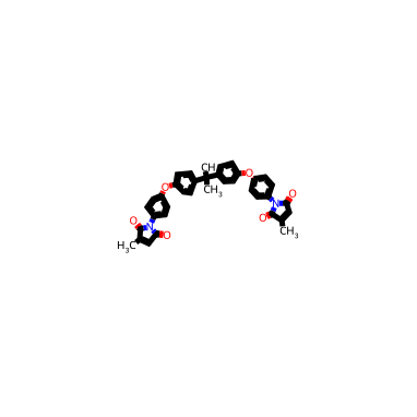 CC1=CC(=O)N(c2ccc(Oc3ccc(C(C)(C)c4ccc(Oc5ccc(N6C(=O)C=C(C)C6=O)cc5)cc4)cc3)cc2)C1=O